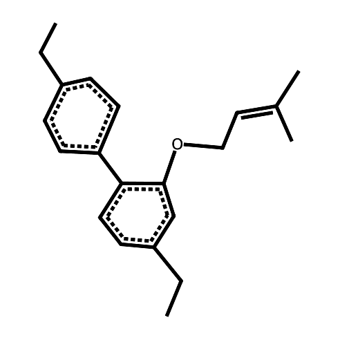 CCc1ccc(-c2ccc(CC)cc2OCC=C(C)C)cc1